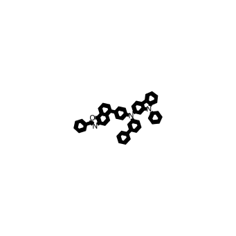 c1ccc(-c2cccc(N(c3ccc(-c4cccc5c4ccc4nc(-c6ccccc6)oc45)cc3)c3ccc4c5ccccc5n(-c5ccccc5)c4c3)c2)cc1